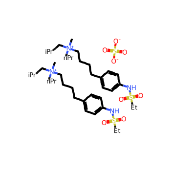 CCC[N+](C)(CCCCc1ccc(NS(=O)(=O)CC)cc1)CC(C)C.CCC[N+](C)(CCCCc1ccc(NS(=O)(=O)CC)cc1)CC(C)C.O=S(=O)([O-])[O-]